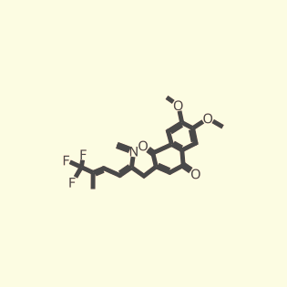 C=N/C(=C\C=C(/C)C(F)(F)F)CC1=CC(=O)c2cc(OC)c(OC)cc2C1=O